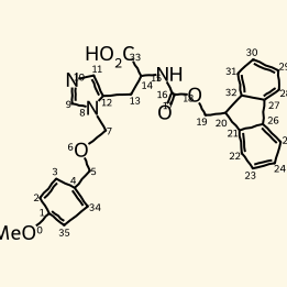 COc1ccc(COCn2cncc2CC(NC(=O)OCC2c3ccccc3-c3ccccc32)C(=O)O)cc1